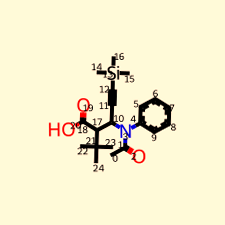 CC(=O)N(c1ccccc1)C(C#C[Si](C)(C)C)C(C(=O)O)C(C)(C)C